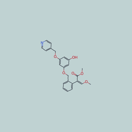 COC=C(C(=O)OC)c1ccccc1COc1cc(O)cc(OCc2ccncc2)c1